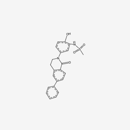 CS(=O)(=O)Nc1cc(N2CCc3cc(-c4ccccc4)ccc3C2=O)ccc1O